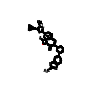 Cc1nc2ccc(-c3cccc(N(CC45CCC(c6cc(C7CC7)n(C)n6)(CC4)CC5)C(=O)C45CC(F)(C4)C5)c3)cc2s1